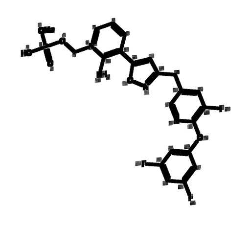 COP(=O)(O)OC[n+]1cccc(-c2cc(Cc3cnc(Oc4cc(F)cc(F)c4)c(F)c3)no2)c1N